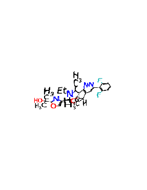 CCN(C(=O)c1coc(C(C)(C)O)n1)[C@@H](C)[C@@]12CC[C@@H](c3cc(-c4c(F)cccc4F)nnc31)C2(C)C